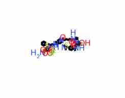 Cc1ncsc1-c1ccc(C(C)NC(=O)[C@@H]2C[C@@H](O)CN2C(=O)C(NC(=O)CCCCC(=O)N2CCC3(CC2)CN(CCC(CSc2ccccc2)Nc2ccc(S(N)(=O)=O)cc2S(=O)(=O)C(F)(F)F)C3)C(C)(C)C)cc1